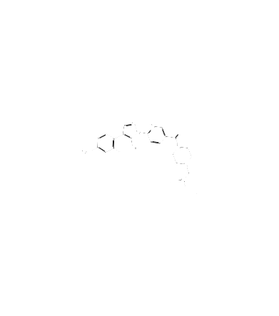 Cc1cc(C#N)ccc1-c1cnn(-c2ccc(C(=O)N3CCN(CN(C)C)CC3)cn2)c1O